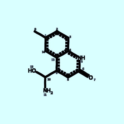 Cc1ccc2[nH]c(=O)cc(C(N)O)c2c1